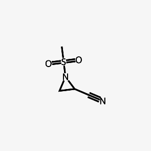 CS(=O)(=O)N1CC1C#N